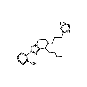 CCCCC1c2nc(-c3ccccc3O)cn2CCN1CCCc1c[nH]cn1